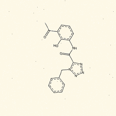 CC(=O)c1cccc(NC(=O)c2nnnn2Cc2ccccc2)c1O